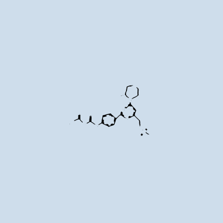 C=C(C)OC(=O)Nc1ccc(-c2nc(COS(C)(=O)=O)cc(N3CCOC[C@@H]3C)n2)cc1